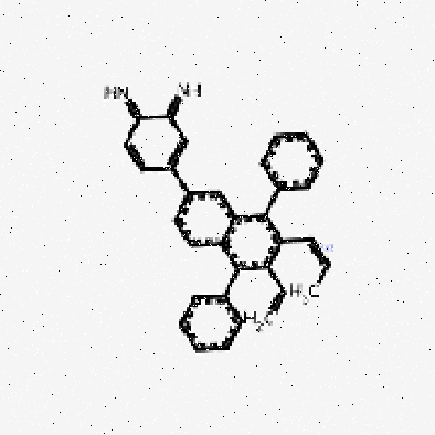 C=Cc1c(/C=C\C)c(-c2ccccc2)c2cc(C3=CC(=N)C(=N)C=C3)ccc2c1-c1ccccc1